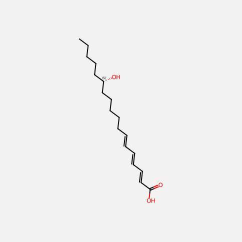 CCCCC[C@H](O)CCCCCC=CC=CC=CC(=O)O